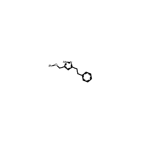 CC(C)OCc1cc(CCc2ccccc2)n[nH]1